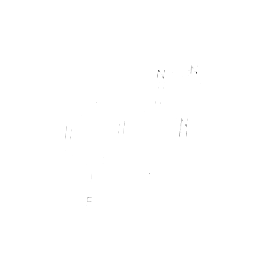 CC(C)(C)c1c(F)cccc1-c1nnc[nH]1